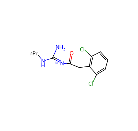 CCCN/C(N)=N/C(=O)Cc1c(Cl)cccc1Cl